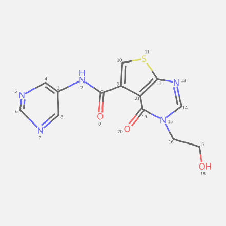 O=C(Nc1cncnc1)c1csc2ncn(CCO)c(=O)c12